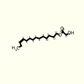 CC/C=C\CCCCCCCCCCOC(=O)CO